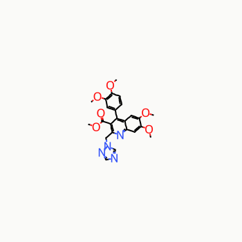 COC(=O)c1c(Cn2cncn2)nc2cc(OC)c(OC)cc2c1-c1ccc(OC)c(OC)c1